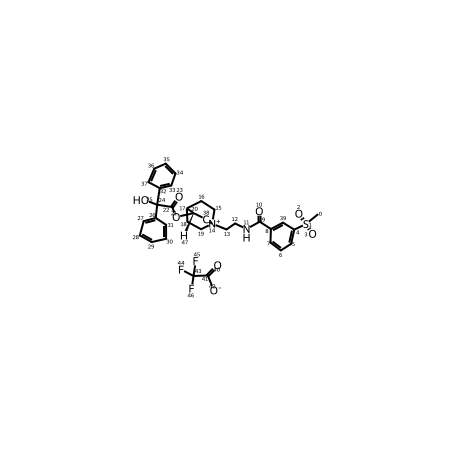 CS(=O)(=O)c1cccc(C(=O)NCC[N+]23CCC(CC2)[C@@H](OC(=O)C(O)(c2ccccc2)c2ccccc2)C3)c1.O=C([O-])C(F)(F)F